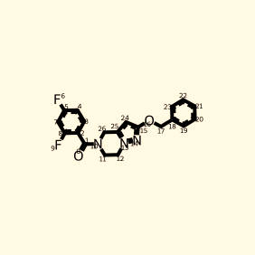 O=C(c1ccc(F)cc1F)N1CCn2nc(OCc3ccccc3)cc2C1